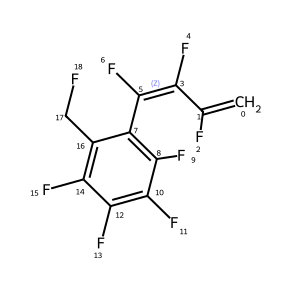 C=C(F)/C(F)=C(/F)c1c(F)c(F)c(F)c(F)c1CF